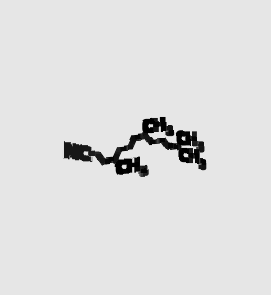 CC(C)=CCCC(C)=CCCC(C)=CCC#N